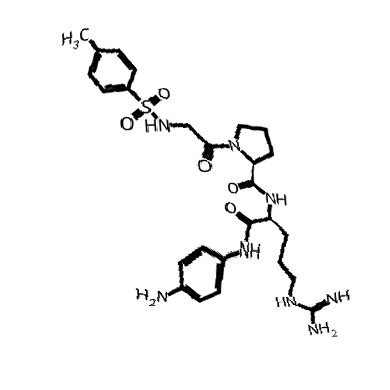 Cc1ccc(S(=O)(=O)NCC(=O)N2CCC[C@H]2C(=O)N[C@@H](CCCNC(=N)N)C(=O)Nc2ccc(N)cc2)cc1